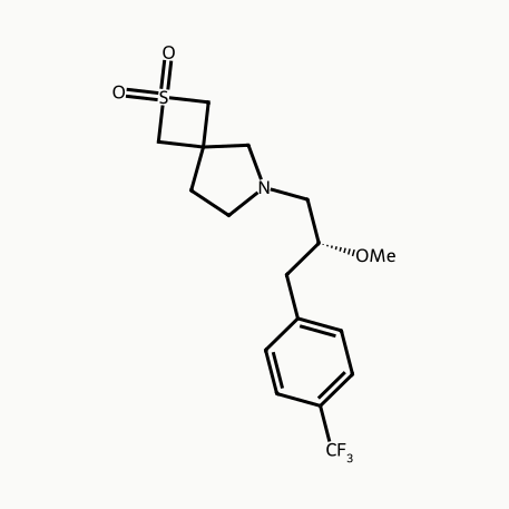 CO[C@H](Cc1ccc(C(F)(F)F)cc1)CN1CCC2(C1)CS(=O)(=O)C2